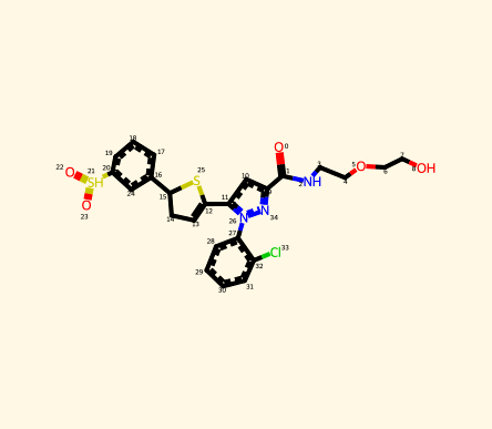 O=C(NCCOCCO)c1cc(C2=CCC(c3cccc([SH](=O)=O)c3)S2)n(-c2ccccc2Cl)n1